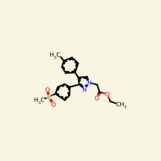 CCOC(=O)Cn1cc(-c2ccc(C)cc2)c(-c2ccc(S(C)(=O)=O)cc2)n1